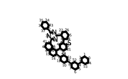 c1ccc(-c2cccc(-c3ccc(-c4ccccc4-c4ccc5sc6cccc(-c7nc(-c8ccccc8)nc(-c8ccccc8)n7)c6c5c4)cc3)c2)cc1